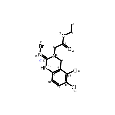 CCOC(=O)CN1Cc2c(ccc(Cl)c2Cl)N/C1=N/Br